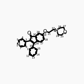 O=C1C(c2ccncc2)=C(c2ccccc2)c2ccc(OCCN3CCOCC3)cc21